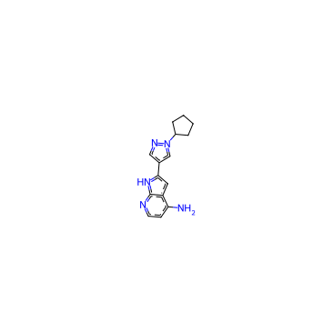 Nc1ccnc2[nH]c(-c3cnn(C4CCCC4)c3)cc12